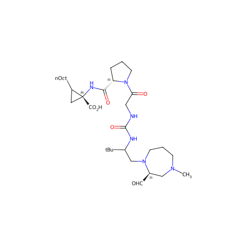 CCCCCCCCC1C[C@]1(NC(=O)[C@@H]1CCCN1C(=O)CNC(=O)NC(CN1CCCN(C)C[C@H]1C=O)C(C)(C)C)C(=O)O